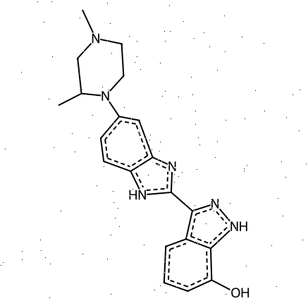 CC1CN(C)CCN1c1ccc2[nH]c(-c3n[nH]c4c(O)cccc34)nc2c1